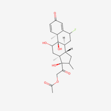 CC(=O)OCC(=O)[C@@]1(O)C(C)C[C@H]2[C@@H]3CC(F)C4=CC(=O)C=C[C@]4(C)[C@@]3(O)C(O)C[C@@]21C